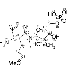 COC=Cc1cn([C@@H]2O[C@H](COP(=O)(O)O)[C@@H](O)[C@@]2(C)O)c2ncnc(N)c12